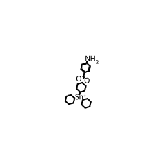 C1CC[CH]([Sn+]([CH]2CCCCC2)[CH]2CCCCC2)CC1.Nc1ccc(C(=O)[O-])cc1